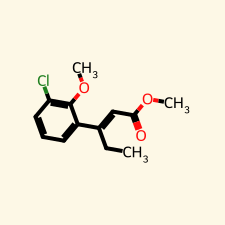 CCC(=CC(=O)OC)c1cccc(Cl)c1OC